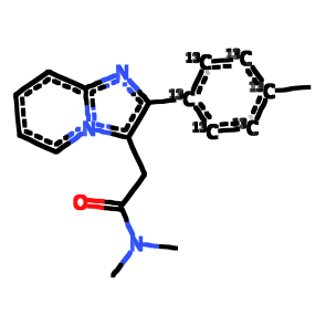 C[13c]1[13cH][13cH][13c](-c2nc3ccccn3c2CC(=O)N(C)C)[13cH][13cH]1